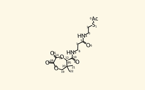 CC(=O)SCCNC(=O)CCNC(=O)[C@@H]1OC(=O)C(=O)OCC1(C)C